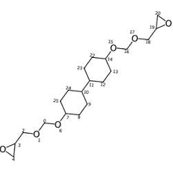 C(OCC1CO1)OC1CCC(C2CCC(OCOCC3CO3)CC2)CC1